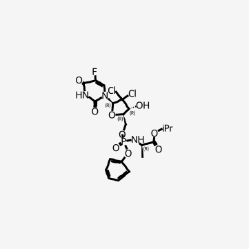 CC(C)OC(=O)[C@@H](C)NP(=O)(OC[C@H]1O[C@@H](n2cc(F)c(=O)[nH]c2=O)C(Cl)(Cl)[C@@H]1O)Oc1ccccc1